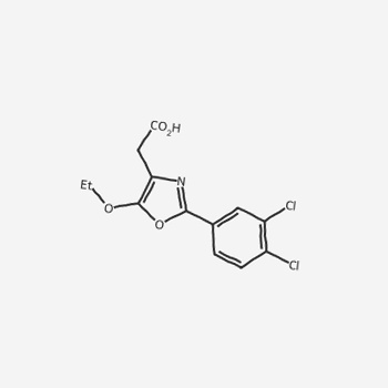 CCOc1oc(-c2ccc(Cl)c(Cl)c2)nc1CC(=O)O